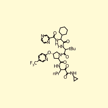 CCCC(NC(=O)C1C[C@H](Oc2ccc(C(F)(F)F)cn2)CN1C(=O)C(NC(=O)C(NC(=O)c1cnccn1)C1CCCCC1)C(C)(C)C)C(=O)C(=O)NC1CC1